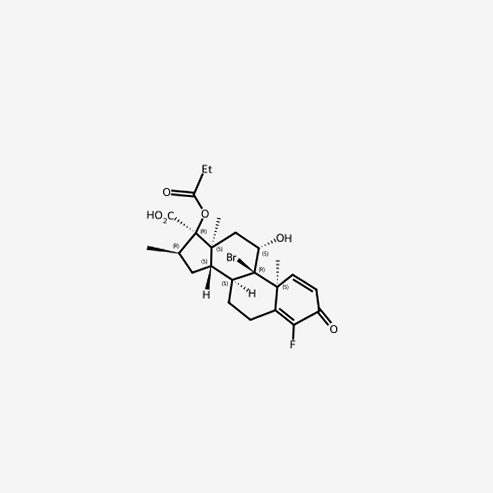 CCC(=O)O[C@]1(C(=O)O)[C@H](C)C[C@H]2[C@@H]3CCC4=C(F)C(=O)C=C[C@]4(C)[C@@]3(Br)[C@@H](O)C[C@@]21C